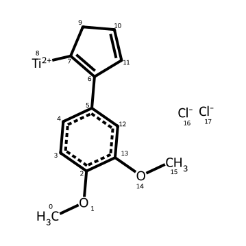 COc1ccc(C2=[C]([Ti+2])CC=C2)cc1OC.[Cl-].[Cl-]